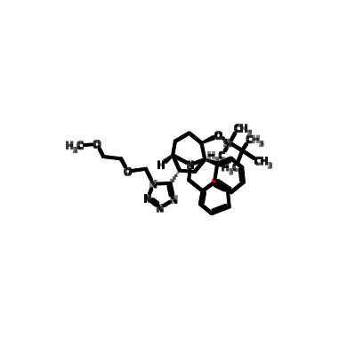 COCCOCn1nnnc1[C@H]1C[C@@]2(c3ccccc3)[C@H](O[Si](C)(C)C(C)(C)C)CC[C@@H]1N2Cc1ccccc1